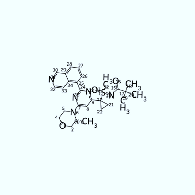 C[C@@H]1COCCN1c1cc(C2(S(C)(=O)=NC(=O)C(C)(C)C)CC2)nc(-c2cccc3cnccc23)n1